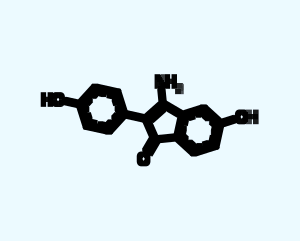 NC1=C(c2ccc(O)cc2)C(=O)c2ccc(O)cc21